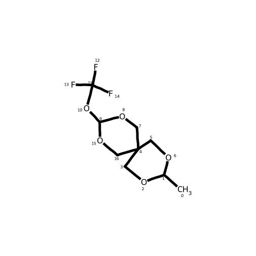 CC1OCC2(CO1)COC(OC(F)(F)F)OC2